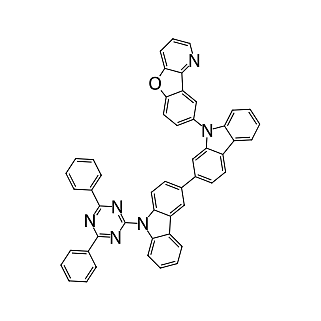 c1ccc(-c2nc(-c3ccccc3)nc(-n3c4ccccc4c4cc(-c5ccc6c7ccccc7n(-c7ccc8oc9cccnc9c8c7)c6c5)ccc43)n2)cc1